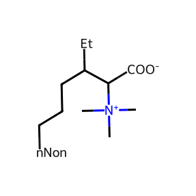 CCCCCCCCCCCCC(CC)C(C(=O)[O-])[N+](C)(C)C